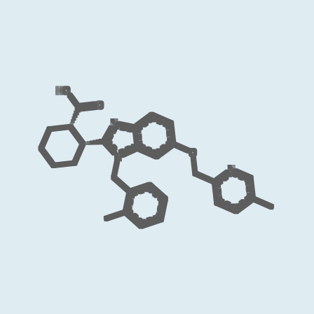 Cc1ccc(COc2ccc3nc([C@@H]4CCCC[C@@H]4C(=O)O)n(Cc4ccccc4C)c3c2)nc1